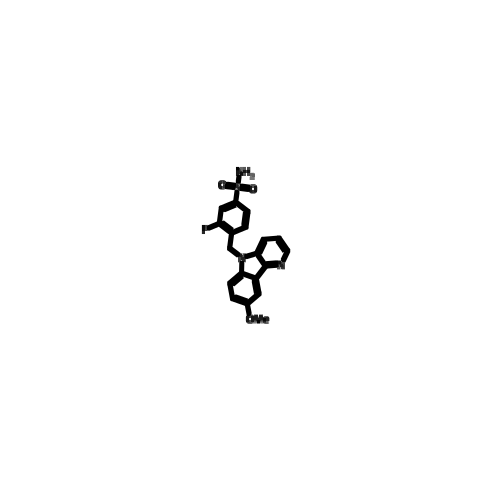 COc1ccc2c(c1)c1ncccc1n2Cc1ccc(S(N)(=O)=O)cc1F